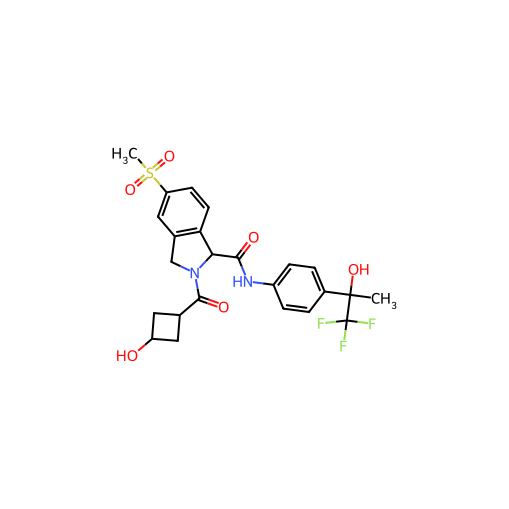 CC(O)(c1ccc(NC(=O)C2c3ccc(S(C)(=O)=O)cc3CN2C(=O)C2CC(O)C2)cc1)C(F)(F)F